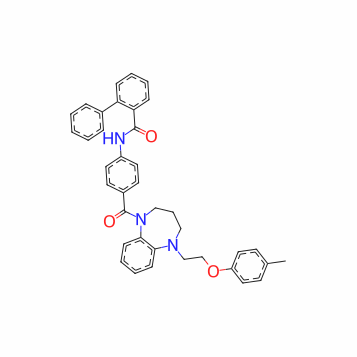 Cc1ccc(OCCN2CCCN(C(=O)c3ccc(NC(=O)c4ccccc4-c4ccccc4)cc3)c3ccccc32)cc1